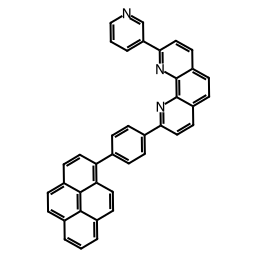 c1cncc(-c2ccc3ccc4ccc(-c5ccc(-c6ccc7ccc8cccc9ccc6c7c89)cc5)nc4c3n2)c1